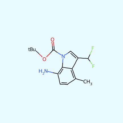 Cc1ccc(N)c2c1c(C(F)F)cn2C(=O)OC(C)(C)C